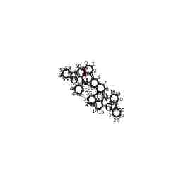 c1ccc(-c2cc3ccc(N(c4ccccc4)c4cccc5c4oc4ccccc45)c(-c4ccccc4)c3cc2N(c2ccccc2)c2cccc3c2oc2ccccc23)cc1